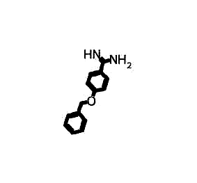 N=C(N)c1ccc(OCc2ccccc2)cc1